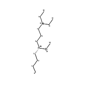 CCCC[C@H](CCCN(CC)CC)OC